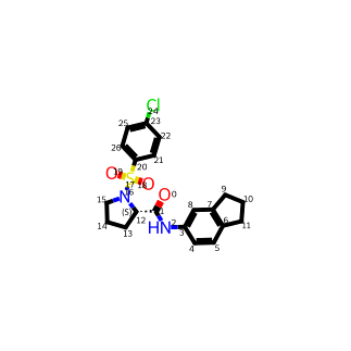 O=C(Nc1ccc2c(c1)CCC2)[C@@H]1CCCN1S(=O)(=O)c1ccc(Cl)cc1